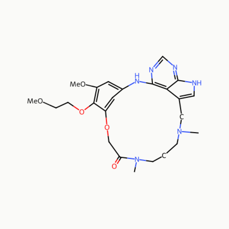 COCCOc1c(OC)cc2cc1OCC(=O)N(C)CCCN(C)Cc1c[nH]c3ncnc(c13)N2